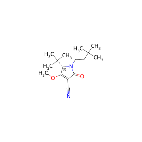 COC1=C(C#N)C(=O)N(CCC(C)(C)C)[C@H]1C(C)(C)C